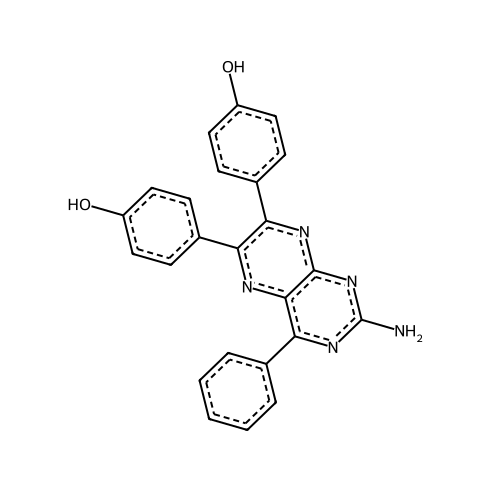 Nc1nc(-c2ccccc2)c2nc(-c3ccc(O)cc3)c(-c3ccc(O)cc3)nc2n1